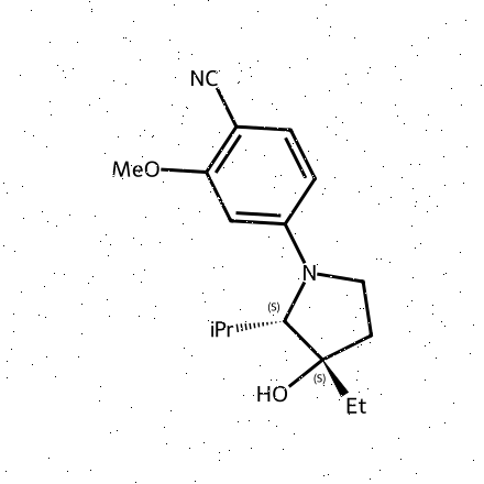 CC[C@]1(O)CCN(c2ccc(C#N)c(OC)c2)[C@H]1C(C)C